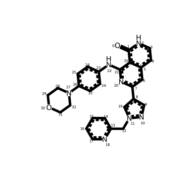 O=c1[nH]ccc2cc(-c3cnn(Cc4ccccn4)c3)nc(Nc3ccc(N4CCOCC4)cc3)c12